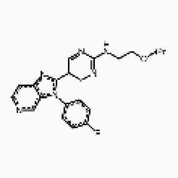 CC(C)OCCNC1=NCC(c2nc3ccncc3n2-c2ccc(F)cc2)C=N1